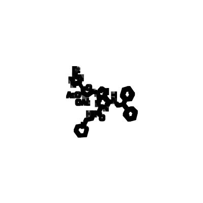 CCn1nnc([C@H]2O[C@@H](n3cnc4c(NCC(c5ccccc5)c5ccccc5)nc(C(=O)NCCN5CCCCC5)nc43)[C@H](OC(C)=O)[C@@H]2OC(C)=O)n1